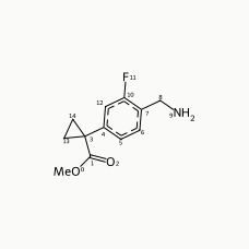 COC(=O)C1(c2ccc(CN)c(F)c2)CC1